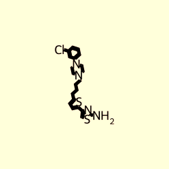 Nc1nc(-c2ccc(CCCCN3CCN(c4cccc(Cl)c4)CC3)s2)cs1